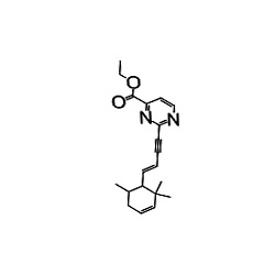 CCOC(=O)c1ccnc(C#CC=CC2C(C)CC=CC2(C)C)n1